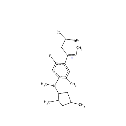 C/C=C(\CC(CC)CCC)c1cc(C)c(N(C)C2CC(C)CC2C)cc1F